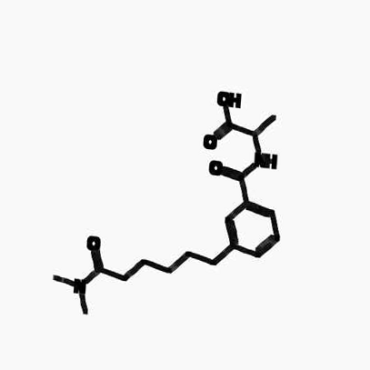 CC(NC(=O)c1cccc(CCCCCC(=O)N(C)C)c1)C(=O)O